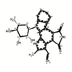 C=Cc1c(C)[nH]c2c1c1c(c3c4ccccc4n([C@@H]4O[C@@H](C)[C@H](O)[C@@H](O)[C@H]4O)c23)C(=O)NC1=O